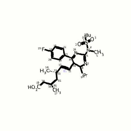 CCC(C)S(=O)(=O)N(C)C1=NC(C(C)C)C(/C=C/[C@@H](C)C[C@@H](C)CC(=O)O)C(c2ccc(F)cc2)=N1